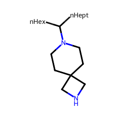 CCCCCCCC(CCCCCC)N1CCC2(CC1)CNC2